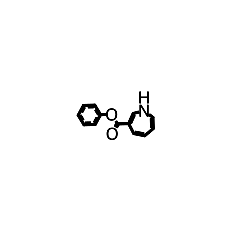 O=C(Oc1ccccc1)C1=CNC=CC=C1